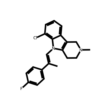 C/C(=C\n1c2c(c3cccc(Cl)c31)CN(C)CC2)c1ccc(F)cc1